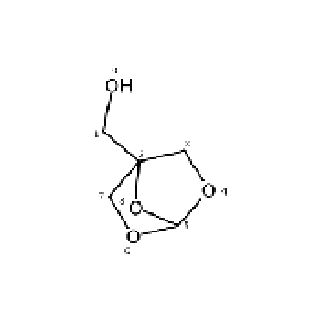 OCC12COC(OC1)O2